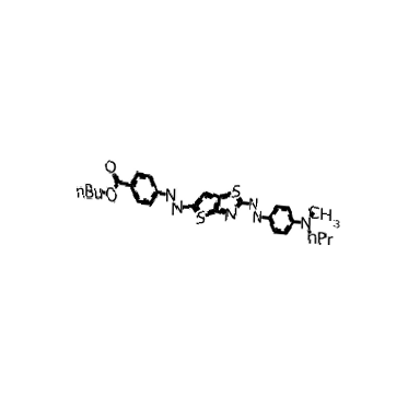 CCCCOC(=O)c1ccc(N=Nc2cc3sc(N=Nc4ccc(N(C)CCC)cc4)nc3s2)cc1